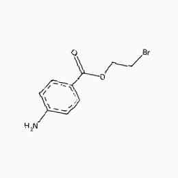 Nc1ccc(C(=O)OCCBr)cc1